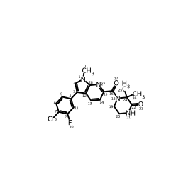 Cn1cc(-c2ccc(Cl)c(F)c2)c2ccc(C(=O)N3CCNC(=O)C3(C)C)nc21